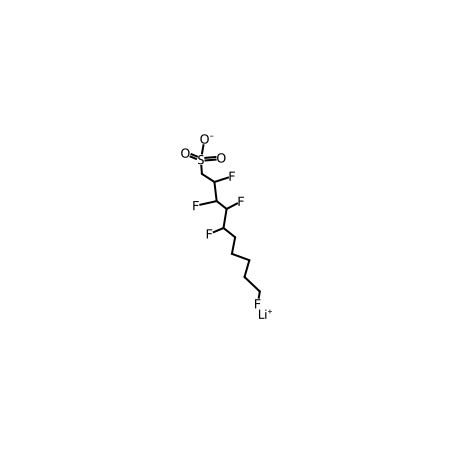 O=S(=O)([O-])CC(F)C(F)C(F)C(F)CCCCCF.[Li+]